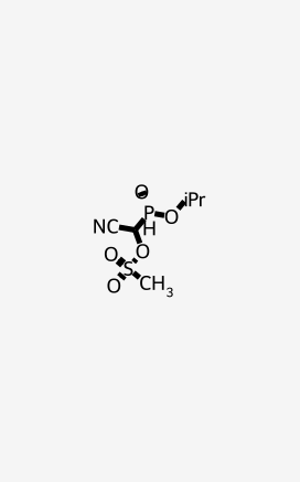 CC(C)O[PH](=O)C(C#N)OS(C)(=O)=O